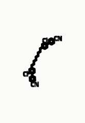 N#Cc1ccc(-c2ccc(CCCCCCCCCc3ccc(-c4ccc(C#N)cc4)c(Cl)c3)cc2Cl)cc1